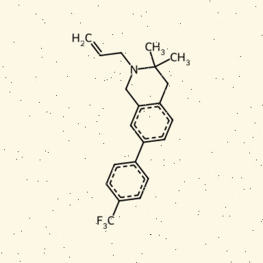 C=CCN1Cc2cc(-c3ccc(C(F)(F)F)cc3)ccc2CC1(C)C